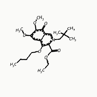 CCCCOc1c2cc(OC)c(OC)c(=O)c-2cn(CC(C)(C)C)c1C(=O)OCC